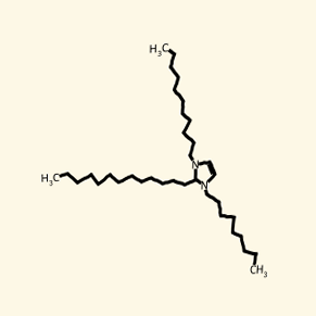 CCCCCCCCCCCCCC1N(CCCCCCCCC)C=CN1CCCCCCCCCCC